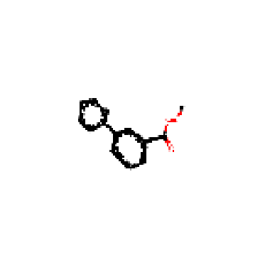 [CH2]OOC(=O)c1cccc(-c2ccccc2)c1